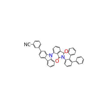 N#Cc1cccc(-c2ccc3c4ccccc4n(-c4cccc5c4C(=O)N(c4cccc(-c6ccccc6)c4-c4ccccc4)C5=O)c3c2)c1